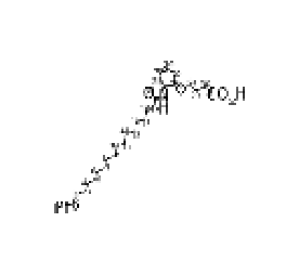 CC(C)SCCCCCCCCCCCCCCCCC(=O)Nc1ccccc1OCCCC(=O)O